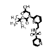 CC(C)(C)OC(=O)N(CC(=O)O)c1cccc(CNS(=O)(=O)c2cccnc2)n1